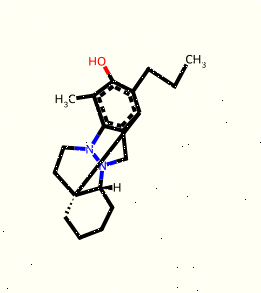 CCCc1c(O)c(C)c2c3c1[C@@]14CCCC[C@H]1N(C3)N2CC4